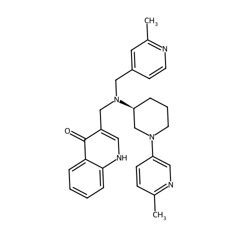 Cc1ccc(N2CCC[C@H](N(Cc3ccnc(C)c3)Cc3c[nH]c4ccccc4c3=O)C2)cn1